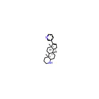 C[C@]12CCCNC1CC[C@@H]1C2CC[C@]2(C)C(c3cccnc3)=CC[C@@H]12